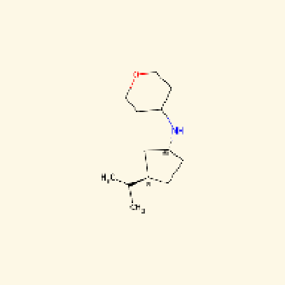 CC(C)[C@@H]1CC[C@@H](NC2CCOCC2)C1